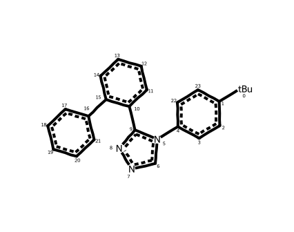 CC(C)(C)c1ccc(-n2cnnc2-c2ccccc2-c2ccccc2)cc1